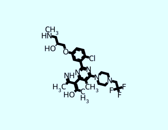 CNC[C@@H](O)COc1ccc(Cl)c(-c2nc(/C(C(C)=N)=C(\C)O)c(C)c(N3CCN(CC(F)(F)F)CC3)n2)c1